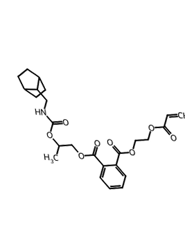 C=CC(=O)OCCOC(=O)c1ccccc1C(=O)OCC(C)OC(=O)NCC1C2CCC1CC2